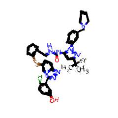 CCC(C)(C)c1cc(NC(=O)NCc2ccccc2Sc2ccc3nnc(-c4cc(O)ccc4Cl)n3c2)n(-c2cccc(CN3CCCC3)c2)n1